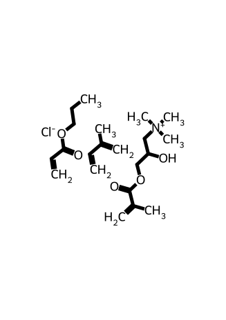 C=C(C)C(=O)OCC(O)C[N+](C)(C)C.C=CC(=C)C.C=CC(=O)OCCC.[Cl-]